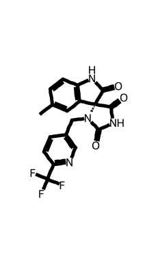 Cc1ccc2c(c1)[C@]1(C(=O)NC(=O)N1Cc1ccc(C(F)(F)F)nc1)C(=O)N2